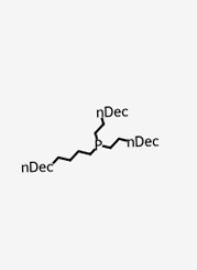 CCCCCCCCCCCCCCP(CCCCCCCCCCCC)CCCCCCCCCCCC